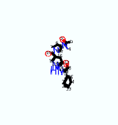 CC(=O)N(C)[C@H]1CCN(C(=O)c2cnc3c(c2)OC[C@@H](c2ccccc2)N3)C1